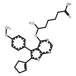 COc1ccc(-c2c(C3=CCCC3)oc3ncnc(OC(C)CCCCC(=O)O)c23)cc1